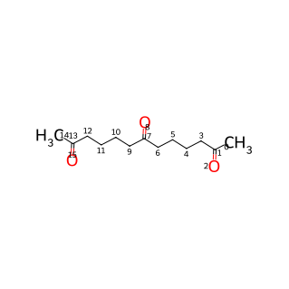 CC(=O)CCCCC(=O)CCCCC(C)=O